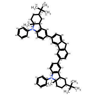 CC(C)(C)C1CCC2(C)C(C1)c1cc(-c3ccc4c(c3)-c3cc(-c5ccc6c(c5)C5CC(C(C)(C)C)CCC5(C)N6c5ccccc5)ccc3C4)ccc1N2c1ccccc1